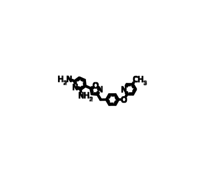 Cc1ccc(Oc2ccc(Cc3cc(-c4ccc(N)nc4N)on3)cc2)nc1